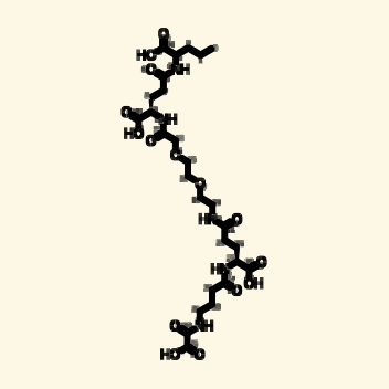 CCCC(NC(=O)CC[C@H](NC(=O)COCCOCCNC(=O)CC[C@H](NC(=O)CCCNC(=O)C(=O)O)C(=O)O)C(=O)O)C(=O)O